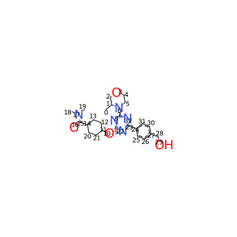 CC1COCCN1c1nc(OC2CCC(C(=O)N(C)C)CC2)nc(-c2ccc(CO)cc2)n1